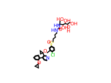 O=C(NCCCCC[S+]([O-])c1ccc(Cl)c(COC2(c3cnccc3-c3ccccc3OC3CC3)CC2)c1)NC(CO)C(O)C(O)C(O)CO